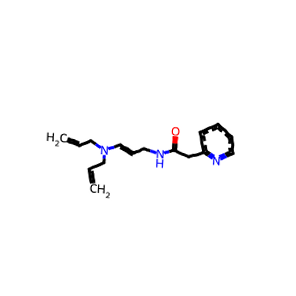 C=CCN(C=CCNC(=O)Cc1ccccn1)CC=C